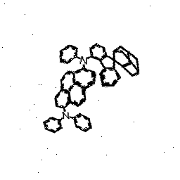 c1ccc(N(c2ccccc2)c2ccc3ccc4c(N(c5ccccc5)c5cccc6c5-c5ccccc5C65C6CC7CC(C6)CC5C7)ccc5ccc2c3c54)cc1